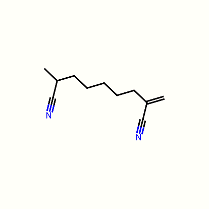 C=C(C#N)CCCCCC(C)C#N